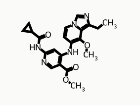 CCc1ncn2ccc(Nc3cc(NC(=O)C4CC4)ncc3C(=O)OC)c(OC)c12